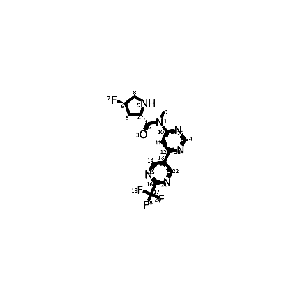 CN(C(=O)[C@@H]1C[C@@H](F)CN1)c1cc(-c2cnc(C(F)(F)F)nc2)ncn1